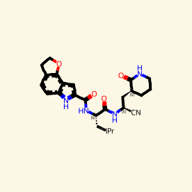 CC(C)C[C@H](NC(=O)c1cc2c3c(ccc2[nH]1)CCO3)C(=O)N[C@H](C#N)C[C@@H]1CCCNC1=O